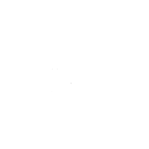 C[C@@H]1C2CC3C(OC(=O)C31)C2OC(=O)C12CC3CC(CC(C3)C1)C2